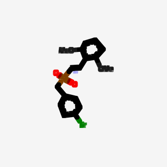 COc1cccc(OC)c1/C=C/S(=O)(=O)Cc1ccc(Br)cc1